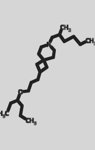 CCCCC(C)CN1CCC2(CC1)CC(CCCOC(CC)CCC)C2